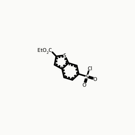 CCOC(=O)c1cc2ccc(S(=O)(=O)Cl)cc2s1